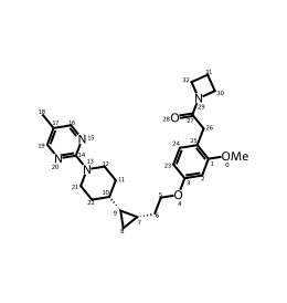 COc1cc(OCC[C@@H]2C[C@@H]2C2CCN(c3ncc(C)cn3)CC2)ccc1CC(=O)N1CCC1